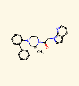 C[C@@H]1CN(c2ccccc2-c2ccccc2)CCN1C(=O)Cn1ccc2cccnc21